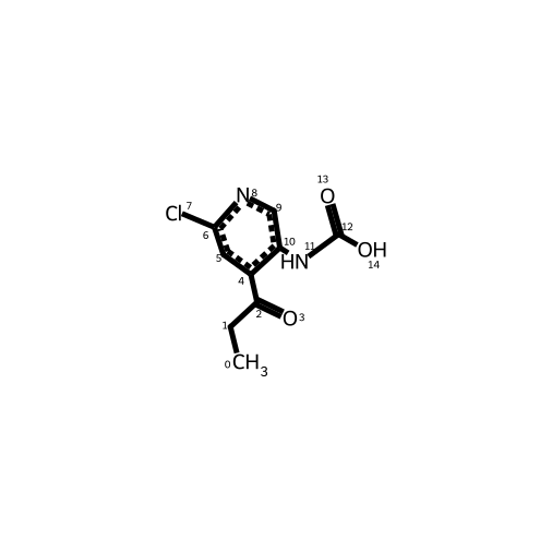 CCC(=O)c1cc(Cl)ncc1NC(=O)O